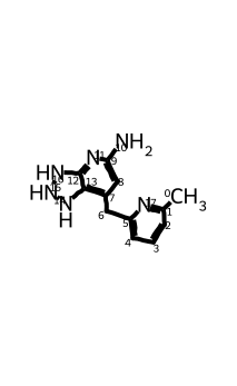 Cc1cccc(Cc2cc(N)nc3c2NNN3)n1